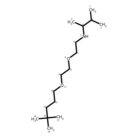 CC(C)C(C)NCCOCCOCCCC(C)(C)C